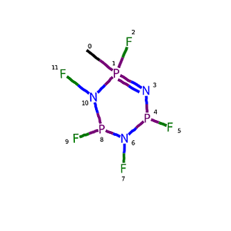 CP1(F)=NP(F)N(F)P(F)N1F